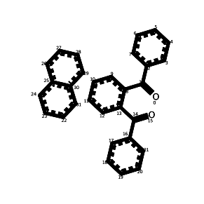 O=C(c1ccccc1)c1ccccc1C(=O)c1ccccc1.c1ccc2ccccc2c1